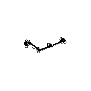 O=C(CCCCCCCCCC(=O)ONCCCCCCCC(=O)ON1C(=O)CCC1=O)ONCCCCCCCC(=O)ON1C(=O)CCC1=O